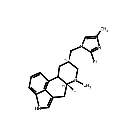 CCc1nc(C)cn1C[C@@H]1CC2c3cccc4[nH]cc(c34)C[C@H]2N(C)C1